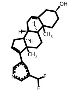 C[C@]12CC[C@H](O)CC1=CC[C@@H]1[C@@H]2CC[C@]2(C)C(c3cncc(C(F)F)c3)=CC[C@@H]12